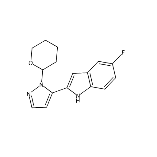 Fc1ccc2[nH]c(-c3ccnn3C3CCCCO3)cc2c1